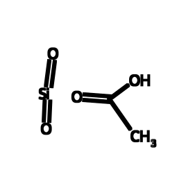 CC(=O)O.O=[Si]=O